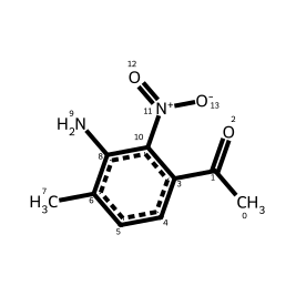 CC(=O)c1ccc(C)c(N)c1[N+](=O)[O-]